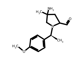 COc1ccc([C@H](C)N2CC(C)(N)CC2C=O)cc1